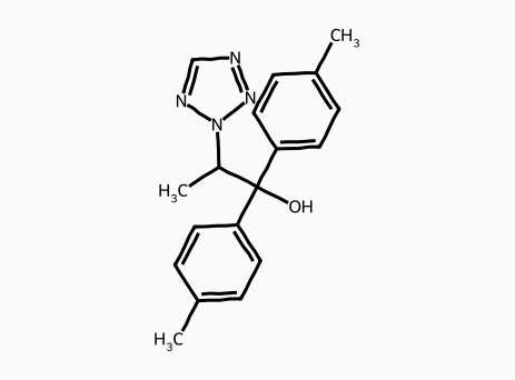 Cc1ccc(C(O)(c2ccc(C)cc2)C(C)n2ncnn2)cc1